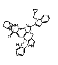 COc1cc(C(=O)N2CC3CCC2[C@@H]3N)cc2nc(-c3cc4ccccc4n3CC3CC3)n(Cc3cnn(-c4ccncc4)c3)c12